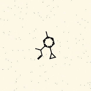 C=C[C](C)c1cc(C)ccc1C1CC1